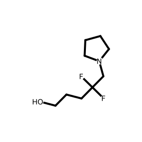 OCCCC(F)(F)CN1CCCC1